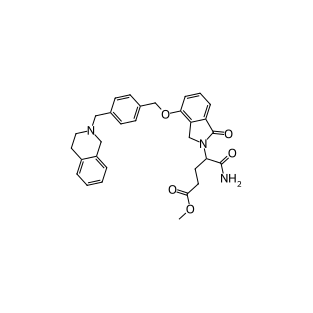 COC(=O)CCC(C(N)=O)N1Cc2c(OCc3ccc(CN4CCc5ccccc5C4)cc3)cccc2C1=O